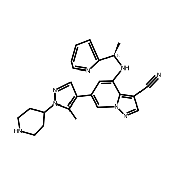 Cc1c(-c2cc(N[C@H](C)c3ccccn3)c3c(C#N)cnn3c2)cnn1C1CCNCC1